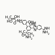 C[C@H](O)[C@H](O)C(=O)NCc1ccc(O)c(-c2cc(C(C)(C)C(N)=O)cc(-c3nc4cc(C(=N)N)ccc4[nH]3)c2O)c1